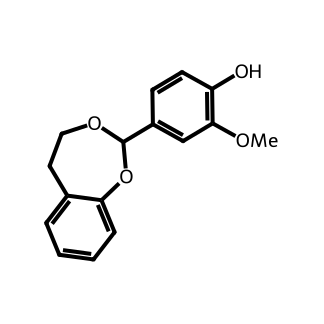 COc1cc(C2OCCc3ccccc3O2)ccc1O